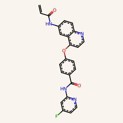 C=CC(=O)Nc1ccc2nccc(Oc3ccc(C(=O)Nc4cc(F)ccn4)cc3)c2c1